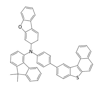 CC1(C)c2ccccc2-c2c(N(c3ccc(-c4ccc5sc6ccc7ccccc7c6c5c4)cc3)C3C=c4oc5ccccc5c4=CC3)cccc21